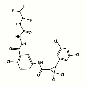 O=C(NNC(=O)c1cc(NC(=O)C2C(c3cc(Cl)cc(Cl)c3)C2(Cl)Cl)ccc1Cl)NC(F)C(F)F